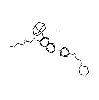 COCCOCOc1cc2ccc(-c3ccc(OCCN4CCOCC4)cc3)cc2cc1C12CC3CC(CC(C3)C1)C2.Cl